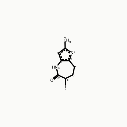 Cc1cc2c(s1)CCC(I)C(=O)N2